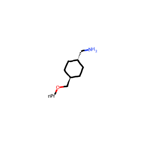 CCCOC[C@H]1CC[C@H](CN)CC1